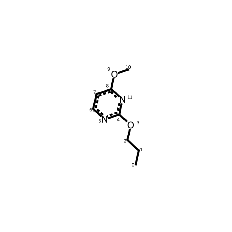 CCCOc1n[c]cc(OC)n1